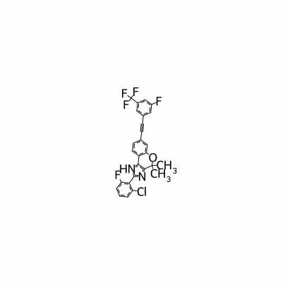 CC1(C)Oc2cc(C#Cc3cc(F)cc(C(F)(F)F)c3)ccc2-c2[nH]c(-c3c(F)cccc3Cl)nc21